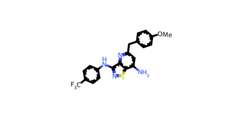 COc1ccc(Cc2cc(N)c3snc(Nc4ccc(C(F)(F)F)cc4)c3n2)cc1